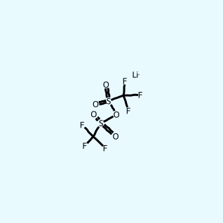 O=S(=O)(OS(=O)(=O)C(F)(F)F)C(F)(F)F.[Li]